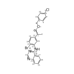 CC(=NOCc1ccc(Cl)cc1)c1ccc(Br)c(Nc2ncnc3ccccc23)c1